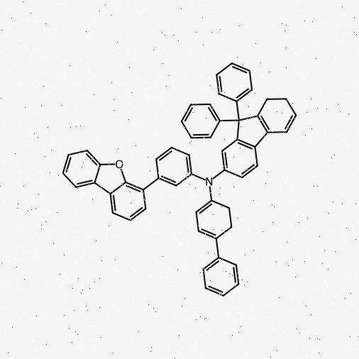 C1=CC2=C(CC1)C(c1ccccc1)(c1ccccc1)c1cc(N(C3=CC=C(c4ccccc4)CC3)c3cccc(-c4cccc5c4oc4ccccc45)c3)ccc12